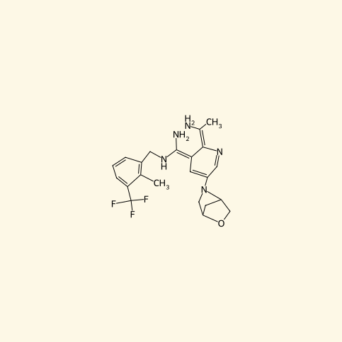 C/C(N)=c1\ncc(N2CC3CC2CO3)c\c1=C(\N)NCc1cccc(C(F)(F)F)c1C